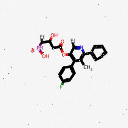 CCc1nc(-c2ccccc2)c(C)c(-c2ccc(F)cc2)c1OC(=O)CC(O)C(CC)[PH](=O)O